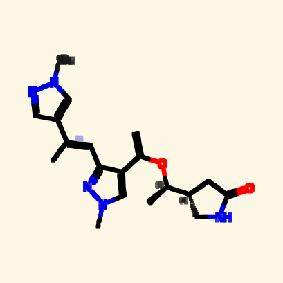 C=C(O[C@H](C)[C@H]1CNC(=O)C1)c1cn(C)nc1/C=C(\C)c1cnn(C(C)(C)C)c1